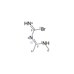 CN/C(C)=N\C(=N)Br